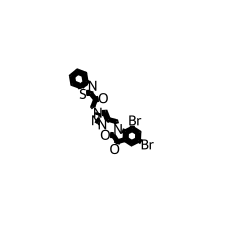 O=C(Cn1cc(CN2C(=O)C(=O)c3cc(Br)cc(Br)c32)nn1)c1nc2ccccc2s1